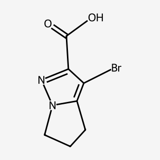 O=C(O)c1nn2c(c1Br)CCC2